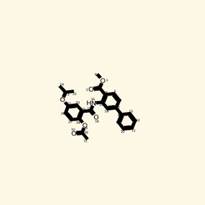 COC(=O)c1ccc(-c2ccccc2)cc1NC(=O)c1cc(OC(C)C)ccc1OC(C)=O